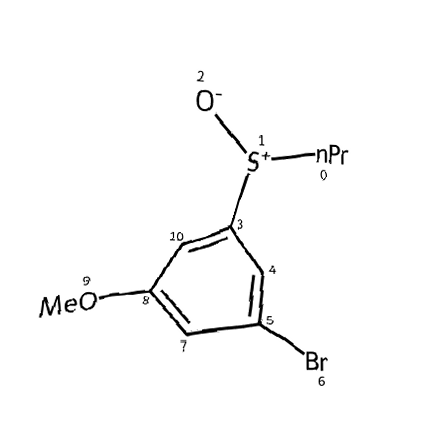 CCC[S+]([O-])c1cc(Br)cc(OC)c1